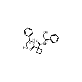 O=C(N[C@@H](CO)c1ccccc1)C1(C(=O)N[C@@H](CO)c2ccccc2)CCC1